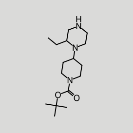 CCC1CNCCN1C1CCN(C(=O)OC(C)(C)C)CC1